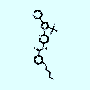 CCCCOc1cccc(C(=O)Nc2ccc(-n3nc(-c4cccnc4)cc3C(F)(F)F)nc2)c1